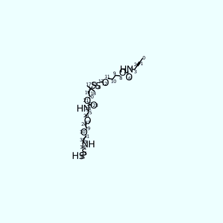 CC#CCNC(=O)OCCCCOCSSC(C)(C)CCOC(=O)NCCOCCOCCNCSS